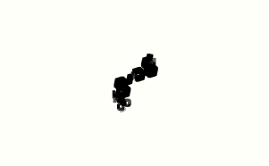 COC(=O)c1nnn2c1ccc1c(CCN3CCC(c4cccc5nc(C)ccc45)CC3)cccc12